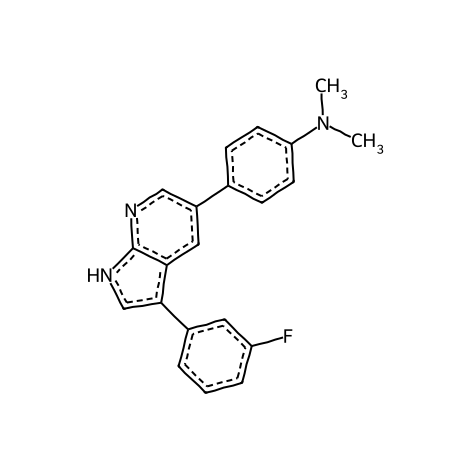 CN(C)c1ccc(-c2cnc3[nH]cc(-c4cccc(F)c4)c3c2)cc1